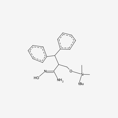 CC(C)(C)[Si](C)(C)OCC(C(N)=NO)C(c1ccccc1)c1ccccc1